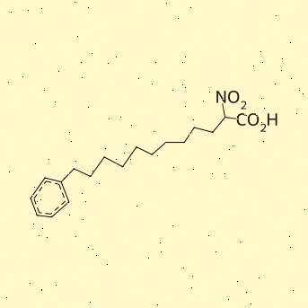 O=C(O)C(CCCCCCCCCCc1ccccc1)[N+](=O)[O-]